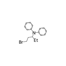 CCC(CCBr)N(c1ccccc1)c1ccccc1